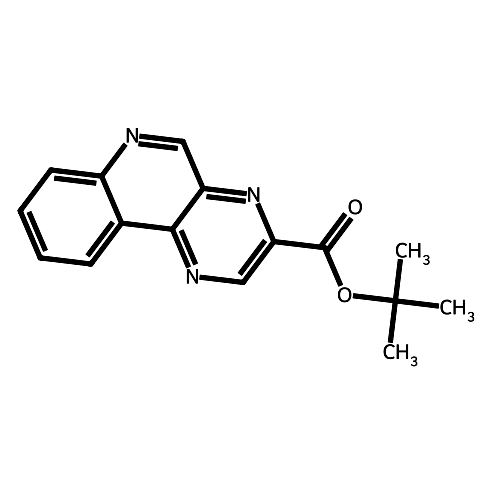 CC(C)(C)OC(=O)c1cnc2c(cnc3ccccc32)n1